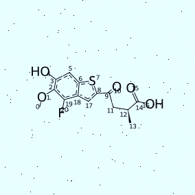 COc1c(O)cc2sc(C(=O)C[C@H](C)C(=O)O)cc2c1F